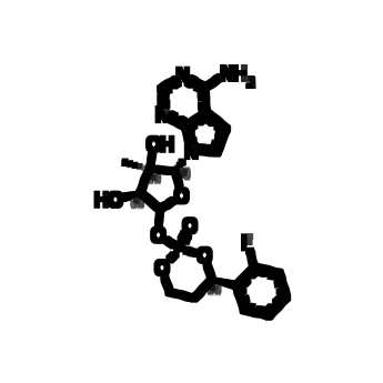 C[C@@]1(O)[C@H](O)C(OP2(=O)OCC[C@H](c3ccccc3F)O2)O[C@H]1n1ccc2c(N)ncnc21